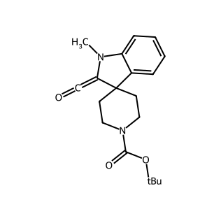 CN1C(=C=O)C2(CCN(C(=O)OC(C)(C)C)CC2)c2ccccc21